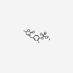 Cc1cc(CN2CC(C)OC2=O)ccc1OS(=O)(=O)C(F)(F)F